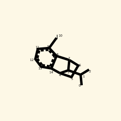 CC(C)C1C2CCC1c1c(I)cccc12